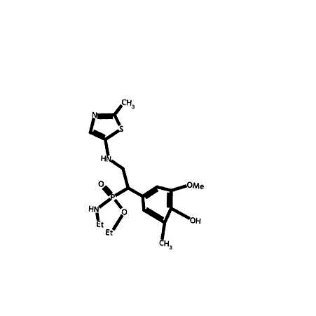 CCNP(=O)(OCC)C(CNc1cnc(C)s1)c1cc(C)c(O)c(OC)c1